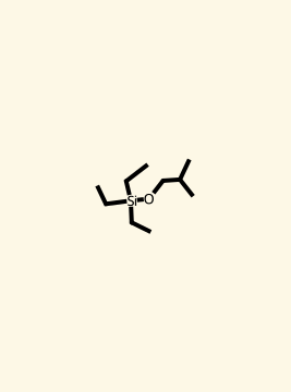 CC[Si](CC)(CC)OCC(C)C